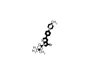 CN1CCN(c2ccc(-c3cnc4c(c3)c(Br)cn4C(=O)OC(C)(C)C)cc2)CC1